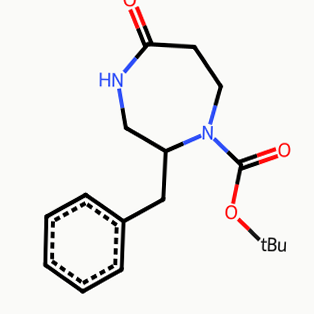 CC(C)(C)OC(=O)N1CCC(=O)NCC1Cc1ccccc1